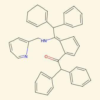 O=C(C1=CC=C/C1=C(/NCc1ccccn1)C(C1=CCCC=C1)c1ccccc1)C(c1ccccc1)c1ccccc1